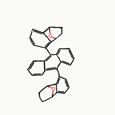 c1cc(-c2c3ccccc3c(-c3cccc4c3C3CCC4O3)c3ccccc23)c2c(c1)C1CCC2O1